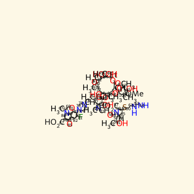 CC[C@H]1OC(=O)[C@H](C)[C@@H](O[C@H]2C[C@@](C)(OC)[C@@H](O)[C@H](C)O2)[C@@H](C)[C@@H](O[C@@H]2O[C@H](C)C[C@H](N(C)C)[C@H]2O)[C@](C)(O)C[C@@H](C)C(=O)[C@H](C)[C@H](O)[C@]1(C)O.C[C@@H](O)[C@@H]1C(=O)N2C(C(=O)O)=C(SCCNC=N)C[C@H]12.C[C@H]1COc2c(N3CCN(C)CC3)c(F)cc3c(=O)c(C(=O)O)cn1c23